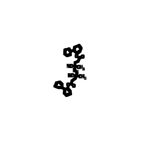 CC(C#N)(CCC(=O)Oc1ccccc1-c1ccccc1)N=NC(C)(C#N)CCC(=O)Oc1ccccc1-c1ccccc1